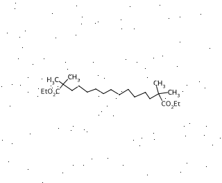 CCOC(=O)C(C)(C)CCCCCCCCCCCC(C)(C)C(=O)OCC